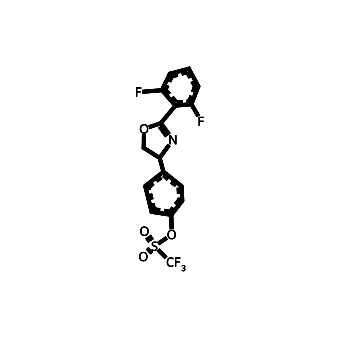 O=S(=O)(Oc1ccc(C2COC(c3c(F)cccc3F)=N2)cc1)C(F)(F)F